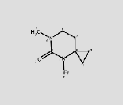 CC(C)N1C(=O)N(C)CCC12CC2